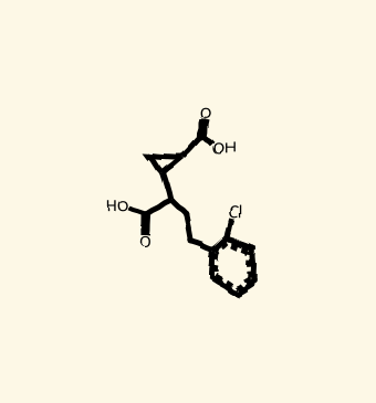 O=C(O)C(CCc1ccccc1Cl)C1CC1C(=O)O